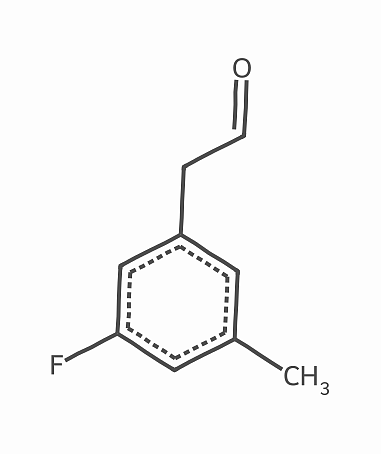 Cc1cc(F)cc(CC=O)c1